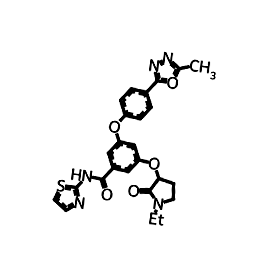 CCN1CCC(Oc2cc(Oc3ccc(-c4nnc(C)o4)cc3)cc(C(=O)Nc3nccs3)c2)C1=O